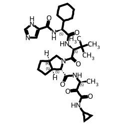 C[C@H](NC(=O)[C@@H]1[C@H]2CCC[C@H]2CN1C(=O)[C@@H](NC(=O)[C@@H](NC(=O)c1cnc[nH]1)C1CCCCC1)C(C)(C)C)C(=O)C(=O)NC1CC1